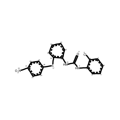 O=C(Nc1ccccc1Cl)Nc1ccccc1Sc1ccc([N+](=O)[O-])cc1